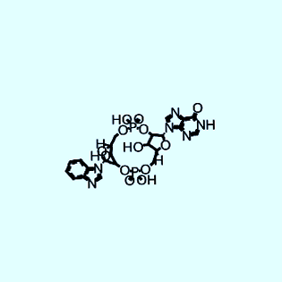 O=c1[nH]cnc2c1ncn2[C@@H]1O[C@@H]2COP(=O)(O)OC3C(O)[C@@H](COP(=O)(O)OC1C2O)O[C@H]3n1cnc2ccccc21